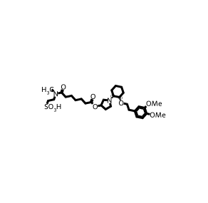 COc1ccc(CCO[C@@H]2CCCC[C@@H]2N2CCC(OC(=O)CCCCCC(=O)N(C)CCS(=O)(=O)O)C2)cc1OC